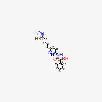 N/N=C(\S)CCCCc1ccc(NC(=O)C(O)c2ccccc2)nn1